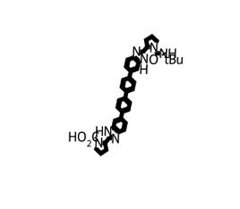 CC(C)(C)NC(=O)N1CCCC1c1nc2ccc(-c3ccc(-c4ccc(-c5ccc6nc(C7CCCN7C(=O)O)[nH]c6c5)cc4)cc3)cc2[nH]1